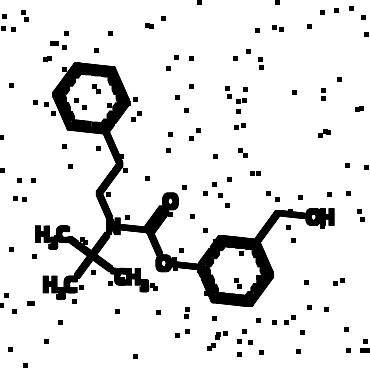 CC(C)(C)N(CCc1ccccc1)C(=O)Oc1cccc(CO)c1